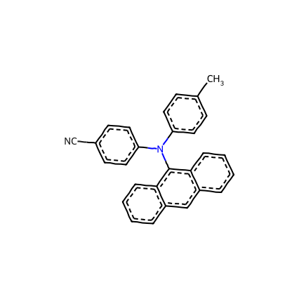 Cc1ccc(N(c2ccc(C#N)cc2)c2c3ccccc3cc3ccccc23)cc1